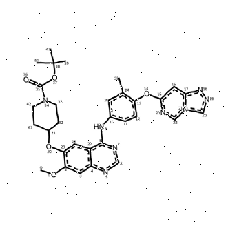 COc1cc2ncnc(Nc3ccc(Oc4cc5nncn5cn4)c(C)c3)c2cc1OC1CCN(C(=O)OC(C)(C)C)CC1